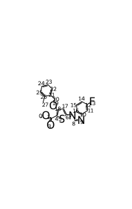 COC(=O)c1sc(-n2cnc3cc(F)ccc32)cc1OCc1ccccc1C